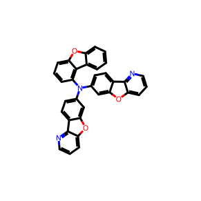 c1ccc2c(c1)oc1cccc(N(c3ccc4c(c3)oc3cccnc34)c3ccc4c(c3)oc3cccnc34)c12